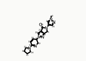 Cn1cc(N2Cc3nn(C4C=CC(N5CCCC5)=NC4)cc3C2=O)cn1